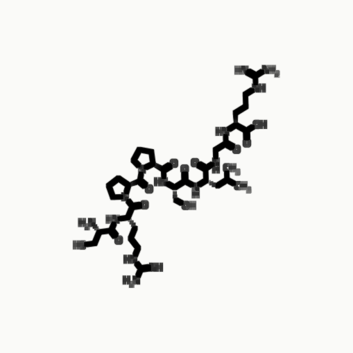 CC(C)C[C@H](NC(=O)[C@H](CO)NC(=O)[C@@H]1CCCN1C(=O)[C@@H]1CCCN1C(=O)[C@H](CCCNC(=N)N)NC(=O)[C@@H](N)CS)C(=O)NCC(=O)N[C@@H](CCCNC(=N)N)C(=O)O